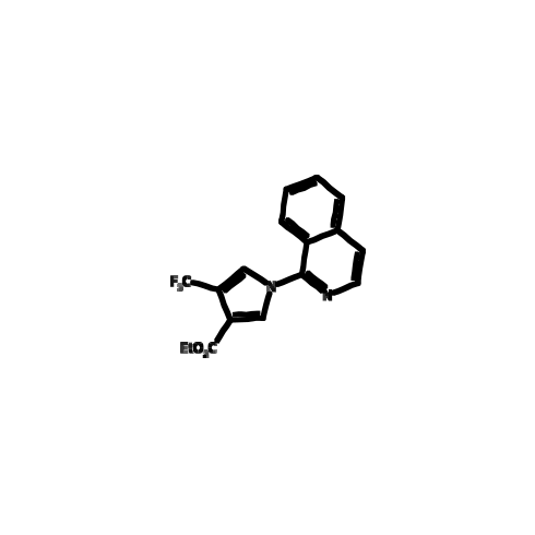 CCOC(=O)c1cn(-c2nccc3ccccc23)cc1C(F)(F)F